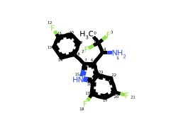 CC(F)(F)C(N)c1c(-c2ccc(F)cc2)[nH]c2c(F)cc(F)cc12